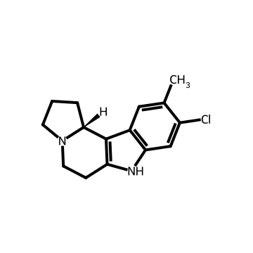 Cc1cc2c3c([nH]c2cc1Cl)CCN1CCC[C@H]31